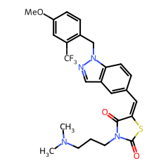 COc1ccc(Cn2ncc3cc(C=C4SC(=O)N(CCCN(C)C)C4=O)ccc32)c(C(F)(F)F)c1